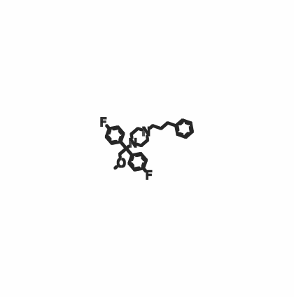 COCC(c1ccc(F)cc1)(c1ccc(F)cc1)N1CCN(CCCc2ccccc2)CC1